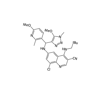 COc1ccc(C(Nc2cc(Cl)c3ncc(C#N)c(NCC(C)(C)C)c3c2)c2nnn(C)c2OC)c(C)n1